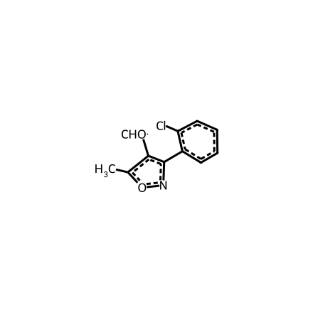 Cc1onc(-c2ccccc2Cl)c1[C]=O